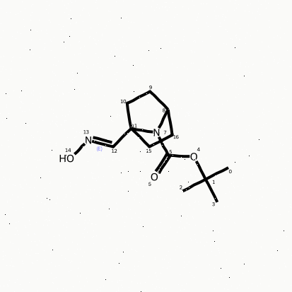 CC(C)(C)OC(=O)N1C2CCC1(/C=N/O)CC2